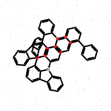 c1ccc(-c2cccc(N(c3ccc4c(c3)C3(c5ccccc5-c5ccccc53)c3cccc5c6ccccc6n-4c35)c3ccccc3-c3ccccc3-c3ccccc3)c2)cc1